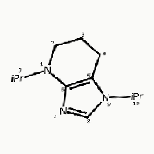 CC(C)N1CCCc2c1ncn2C(C)C